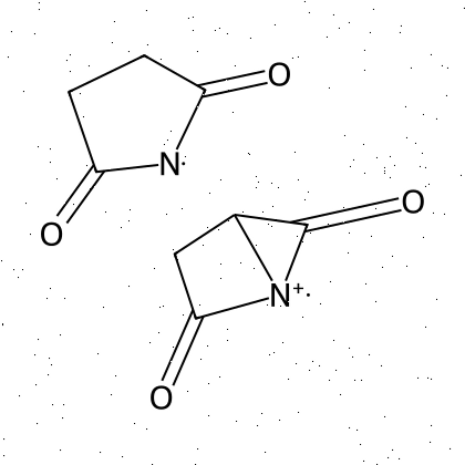 O=C1CC2C(=O)[N+]12.O=C1CCC(=O)[N]1